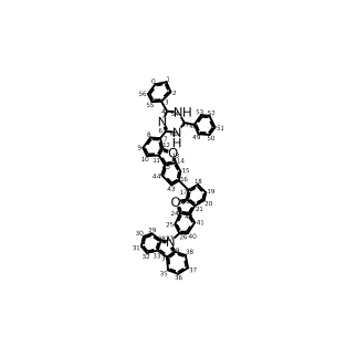 c1ccc(C2N=C(c3cccc4c3oc3cc(-c5cccc6c5oc5cc(-n7c8ccccc8c8ccccc87)ccc56)ccc34)NC(c3ccccc3)N2)cc1